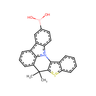 CC1(C)c2sc3ccccc3c2-n2c3ccc(B(O)O)cc3c3cccc1c32